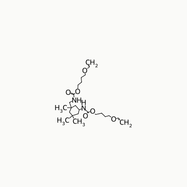 C=COCCCCOC(=O)NCC1(C)CC(NC(=O)OCCCCOC=C)CC(C)(C)C1